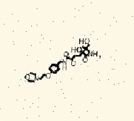 CC(C)(CO)[C@](O)(CCC(=O)C(=O)NCc1ccc(OCCN2CCOCC2)cc1)C(N)=O